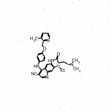 CCOc1cc2ncc(C#N)c(Nc3ccc(OCc4ncccc4C)cc3)c2cc1NC(=O)CCCN(C)C